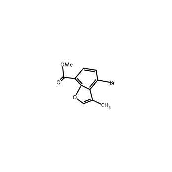 COC(=O)c1ccc(Br)c2c(C)coc12